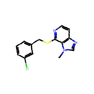 Cn1cnc2ccnc(SCc3cccc(Cl)c3)c21